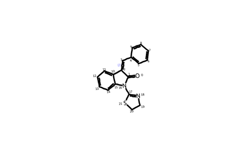 O=C1/C(=C\c2ccccc2)c2ccccc2N1C1=NCCS1